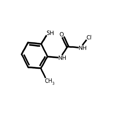 Cc1cccc(S)c1NC(=O)NCl